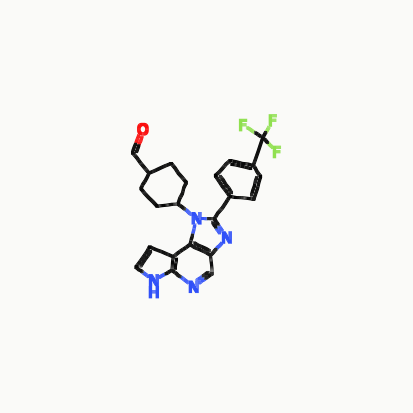 O=CC1CCC(n2c(-c3ccc(C(F)(F)F)cc3)nc3cnc4[nH]ccc4c32)CC1